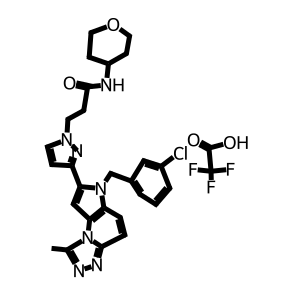 Cc1nnc2ccc3c(cc(-c4ccn(CCC(=O)NC5CCOCC5)n4)n3Cc3cccc(Cl)c3)n12.O=C(O)C(F)(F)F